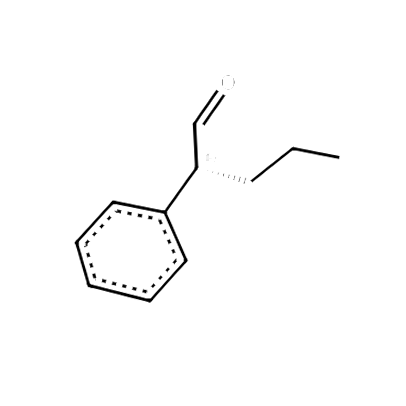 CCC[C@@H](C=O)c1ccccc1